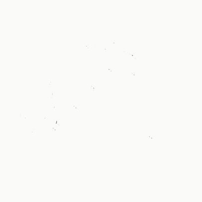 CC(C)(C)c1ccc2c3ccc(C(C)(C)C)cc3n(-c3c(-c4cc(-c5ccccc5)nc(-c5ccccc5)n4)cc(C#N)cc3-c3nc(-c4ccccc4)cc(-c4ccccc4)n3)c2c1